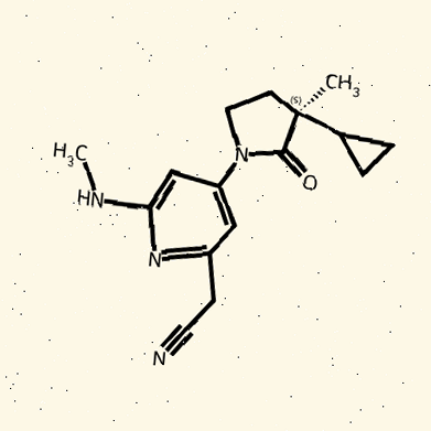 CNc1cc(N2CC[C@@](C)(C3CC3)C2=O)cc(CC#N)n1